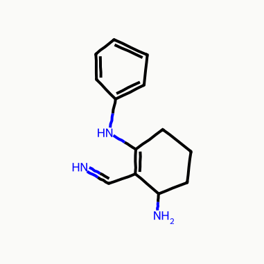 N=CC1=C(Nc2ccccc2)CCCC1N